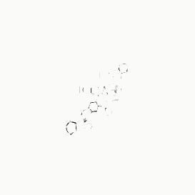 CCOc1cc2c(cc1C(=O)NC[C@@H](O)[C@@H]1Cc3ccccc3CN1)CN(c1ccccc1)C2=O.Cl